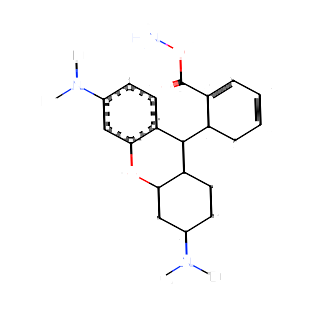 CCN(CC)c1ccc2c(c1)OC1CC(N(CC)CC)CCC1C2C1CC=CC=C1C(=O)ON